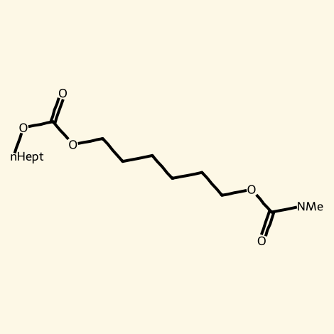 CCCCCCCOC(=O)OCCCCCCOC(=O)NC